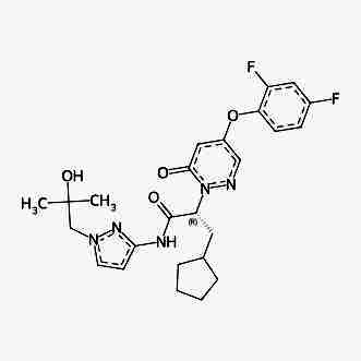 CC(C)(O)Cn1ccc(NC(=O)[C@@H](CC2CCCC2)n2ncc(Oc3ccc(F)cc3F)cc2=O)n1